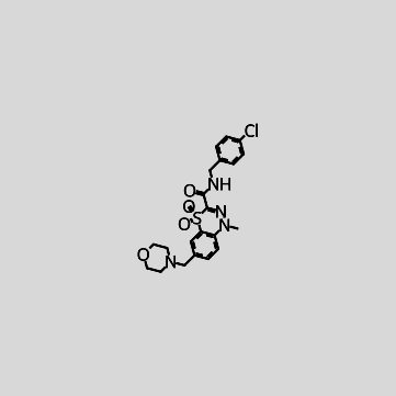 CN1N=C(C(=O)NCc2ccc(Cl)cc2)S(=O)(=O)c2cc(CN3CCOCC3)ccc21